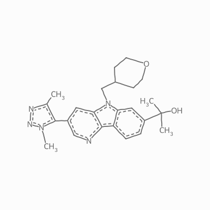 Cc1nnn(C)c1-c1cnc2c3ccc(C(C)(C)O)cc3n(CC3CCOCC3)c2c1